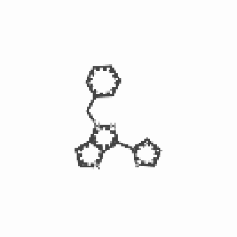 c1ccc(Cn2nc(-c3cccs3)c3sccc32)cc1